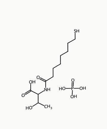 CC(O)C(NC(=O)CCCCCCCS)C(=O)O.O=P(O)(O)O